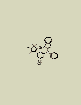 CC1=C(C)C(C)(C)[C]([Zr+2][CH]2C(P(c3ccccc3)c3ccccc3)=Cc3ccccc32)=C1C.[Cl-].[Cl-]